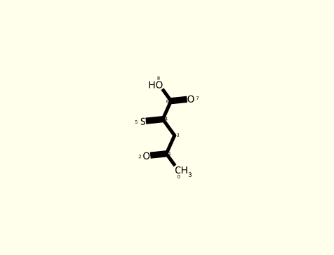 CC(=O)CC(=S)C(=O)O